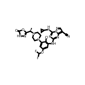 C[C@H](c1n[nH]c(=O)o1)N1CCN(c2cc(OC(F)F)cc(Nc3nc(NC4CC4)n4ncc(C#N)c4n3)c2Cl)CC1